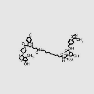 Cc1ncsc1-c1ccc(CNC(=O)[C@@H]2C[C@@H](O)CN2C(=O)[C@@H](NC(=O)CCCCCCCCCNC(=O)CCNC[C@@H](C(=O)N2CCN(c3ncnc4c3[C@H](C)C[C@H]4O)CC2)c2ccc(Cl)cc2)C(C)(C)C)cc1